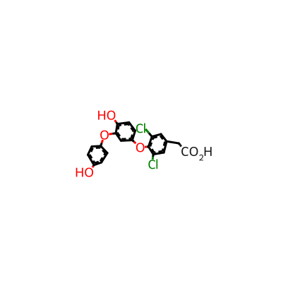 O=C(O)Cc1cc(Cl)c(Oc2ccc(O)c(Oc3ccc(O)cc3)c2)c(Cl)c1